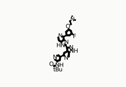 CN(C)CCOc1cc(F)cc(-c2nccc3[nH]c(-c4n[nH]c5cnc(-c6cncc(NC(=O)C(C)(C)C)c6)cc45)nc23)c1